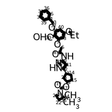 CCOc1cc(OCC(=O)Nc2cc([C@H]3CC[C@@H](OC(=O)N4CCC4(C)C)C3)[nH]n2)c(C=O)c(OCc2ccccc2)c1